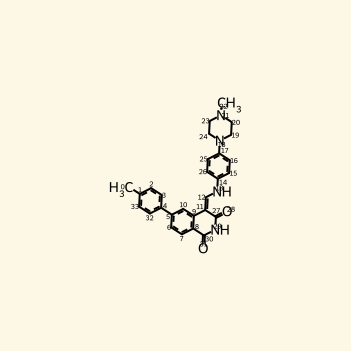 Cc1ccc(-c2ccc3c(c2)C(=CNc2ccc(N4CCN(C)CC4)cc2)C(=O)NC3=O)cc1